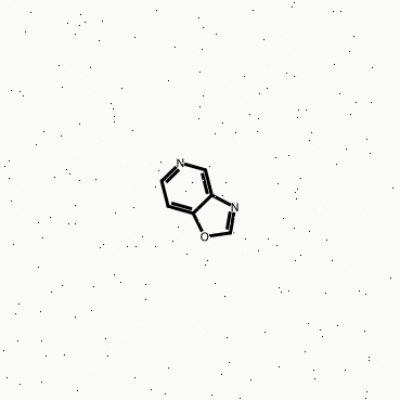 [c]1nc2cnccc2o1